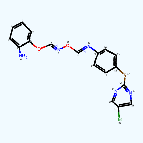 Nc1ccccc1O/C=N/O/C=N/c1ccc(Sc2ncc(Br)cn2)cc1